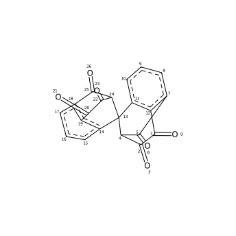 O=C1C(=O)C2C(=O)c3cccc(c31)C21c2cccc3c2C(=O)C(=O)C1C3=O